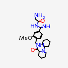 COc1cc(C(=N)NC(=O)CN)ccc1CNC(=O)C1CCCCN1C1CCCCC1